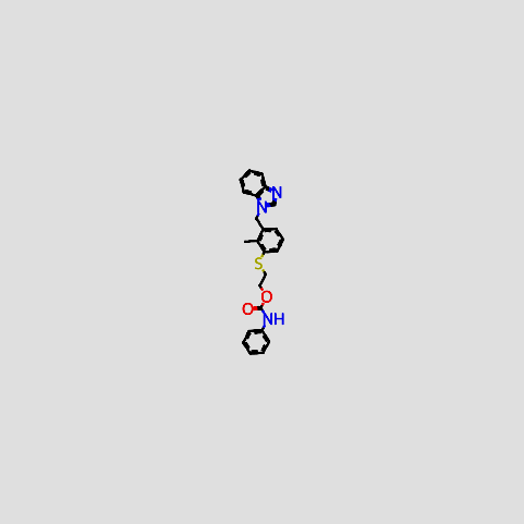 Cc1c(Cn2cnc3ccccc32)cccc1SCCOC(=O)Nc1ccccc1